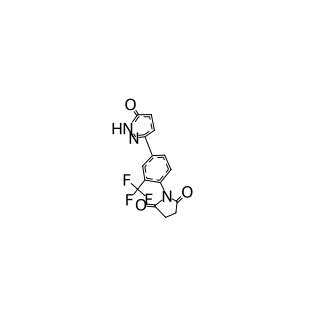 O=C1CCC(=O)N1c1ccc(-c2ccc(=O)[nH]n2)cc1C(F)(F)F